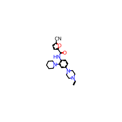 C=CN1CCN(c2ccc(NC(=O)c3ccc(C#N)o3)c(N3CCCCC3)c2)CC1